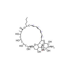 CCCCC1C/C=C/C=C/C=C/C=C/C(O[C@@H]2O[C@H](C)[C@@H](O)[C@H](N)[C@H]2O)CC2OC(O)(CC(O)CC(O)CC(O)CC(O)C(C)C(=O)O1)CC(O)C2C(=O)O